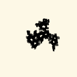 CCc1c(F)ccc2cccc(-c3ncc4c(N5C[C@@H]6C[C@H](C5)[C@H](O)C6)nc(OC[C@@]56CCCN5C[C@H](F)C6)nc4c3F)c12